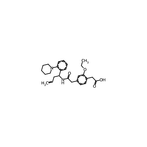 C=CCC(NC(=O)Cc1ccc(CC(=O)O)c(OCC)c1)c1ccccc1N1CCCCC1